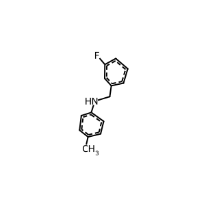 Cc1ccc(NCc2cccc(F)c2)cc1